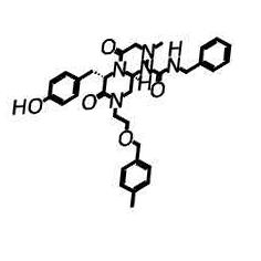 Cc1ccc(COCCN2C[C@H]3N(C(=O)CN(C)N3C(=O)NCc3ccccc3)[C@@H](Cc3ccc(O)cc3)C2=O)cc1